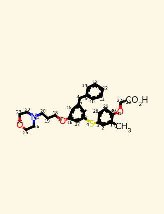 Cc1cc(Sc2cc(Cc3ccccc3)cc(OCCCN3CCOCC3)c2)ccc1OCC(=O)O